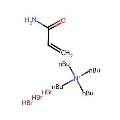 Br.Br.Br.C=CC(N)=O.CCCC[N+](CCCC)(CCCC)CCCC